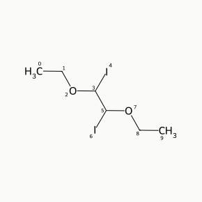 CCOC(I)C(I)OCC